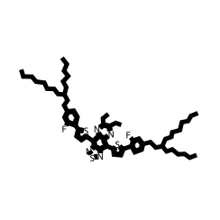 CCCCCCCCC(CCCCCC)CCc1ccc(-c2ccc(-c3c4nsnc4c(-c4ccc(-c5ccc(CCC(CCCCCC)CCCCCCCC)cc5F)s4)c4nc(CC)c(CC)nc34)s2)c(F)c1